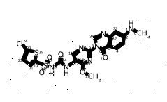 CNc1ccc2c(=O)n(-c3ncc(NC(=O)NS(=O)(=O)c4ccc(Cl)s4)c(OC)n3)cnc2c1